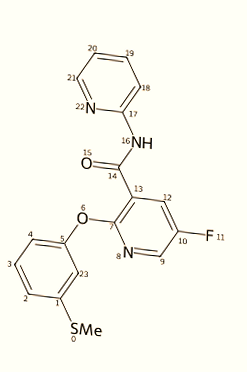 CSc1cccc(Oc2ncc(F)cc2C(=O)Nc2ccccn2)c1